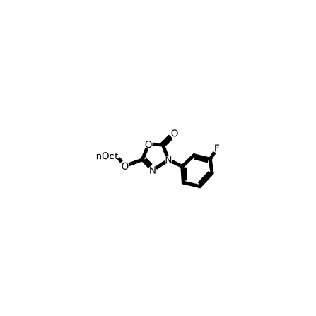 CCCCCCCCOc1nn(-c2cccc(F)c2)c(=O)o1